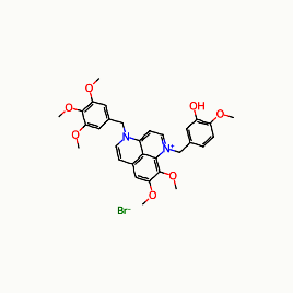 COc1ccc(C[n+]2ccc3c4c(cc(OC)c(OC)c42)C=CN3Cc2cc(OC)c(OC)c(OC)c2)cc1O.[Br-]